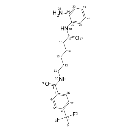 CC(F)(F)c1ccc(C(=O)NCCCCCC(=O)Nc2ccccc2N)cc1